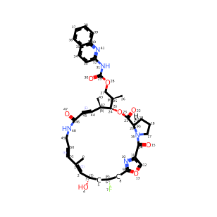 CC1=C\[C@@H](O)C[C@@H](F)Cc2nc(co2)C(=O)N2CCC[C@@H]2C(=O)O[C@H]([C@H](C)COC(=O)Nc2ccc3ccccc3n2)[C@H](C)/C=C/C(=O)NC\C=C\1